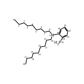 CCCCCCCCCN(CCCCCCCCC)c1ccccc1P